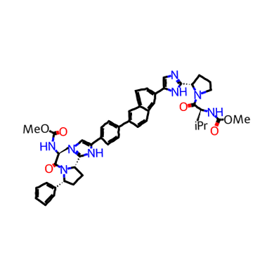 COC(=O)N[C@@H](C)C(=O)N1[C@@H](c2ccccc2)CC[C@H]1c1ncc(-c2ccc(-c3ccc4cc(-c5cnc([C@@H]6CCCN6C(=O)[C@@H](NC(=O)OC)C(C)C)[nH]5)ccc4c3)cc2)[nH]1